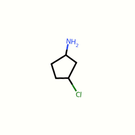 NC1CCC(Cl)C1